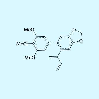 C=CC(=C)c1cc2c(cc1-c1cc(OC)c(OC)c(OC)c1)OCO2